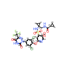 O=C(NCC1(NS(=O)(=O)c2cc(Oc3c(Cl)cc(-n4nc(C(F)(F)F)c(=O)[nH]c4=O)cc3Cl)ncc2O)CC1)C1CC1